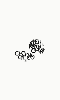 Cc1nc(F)ncc1-c1cc(Cn2ccn(C)c2=N)cc(C(=O)N(C)Cc2ccc(Cl)c(Cl)c2)c1